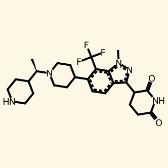 C[C@H](C1CCNCC1)N1CCC(c2ccc3c(C4CCC(=O)NC4=O)nn(C)c3c2C(F)(F)F)CC1